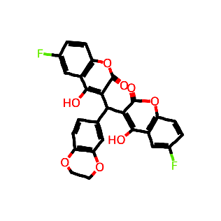 O=c1oc2ccc(F)cc2c(O)c1C(c1ccc2c(c1)OCCO2)c1c(O)c2cc(F)ccc2oc1=O